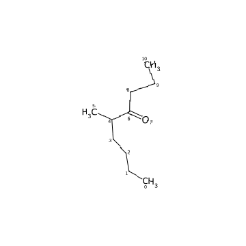 CCCCC(C)C(=O)CCC